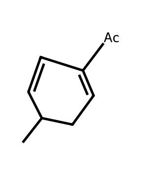 CC(=O)C1=CCC(C)C=C1